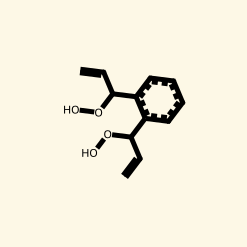 C=CC(OO)c1ccccc1C(C=C)OO